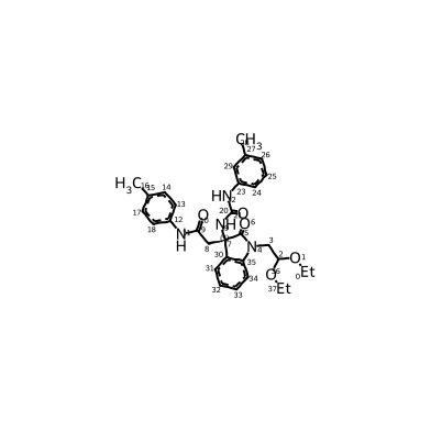 CCOC(CN1C(=O)[C@@](CC(=O)Nc2ccc(C)cc2)(NC(=O)Nc2cccc(C)c2)c2ccccc21)OCC